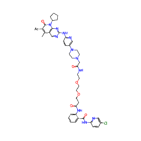 CC(=O)c1c(C)c2cnc(Nc3ccc(N4CCN(CC(=O)NCCOCCOCCC(=O)Nc5ccccc5C(=O)Nc5ccc(Cl)cn5)CC4)cn3)nc2n(C2CCCC2)c1=O